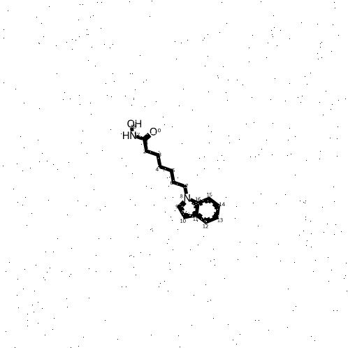 O=C(CCCCCCn1ccc2ccccc21)NO